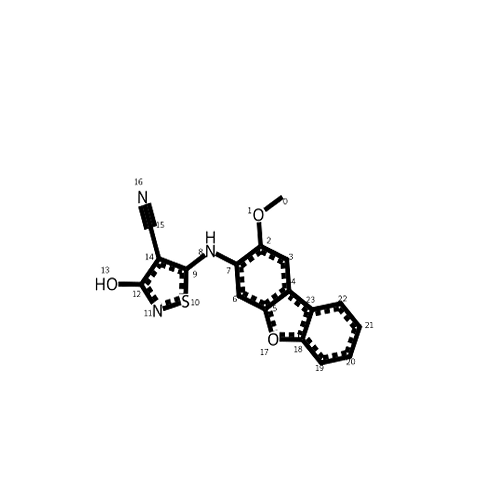 COc1cc2c(cc1Nc1snc(O)c1C#N)oc1ccccc12